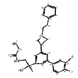 CC(C)(C)OC(=O)NCC(C)(O)c1cc(C2CN(CCc3ccccc3)C2)cc(-c2ccc(F)c(Cl)c2)n1